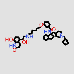 O=C(NC1(CC2CCN(Cc3ccccc3)CC2)CCc2ccccc21)c1cccc(OCCCCCCNCC(O)c2ccc(O)c3[nH]c(=O)ccc23)c1